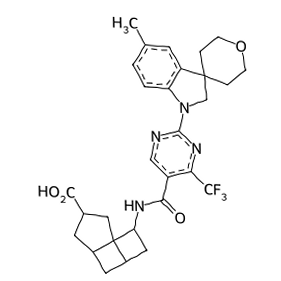 Cc1ccc2c(c1)C1(CCOCC1)CN2c1ncc(C(=O)NC2CC3CC4CC(C(=O)O)CC432)c(C(F)(F)F)n1